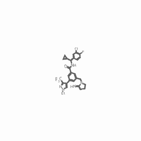 CCn1cc(-c2cc(CN3CCCC3=N)cc(C(=O)NC(c3ccc(F)c(Cl)c3)C3CC3)c2)c(C(F)(F)F)n1